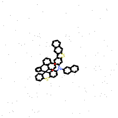 c1ccc2c(c1)Sc1ccc(N(c3ccc4ccccc4c3)c3ccc4c(c3)sc3cc5ccccc5cc34)cc1C21c2ccccc2-c2cccc3cccc1c23